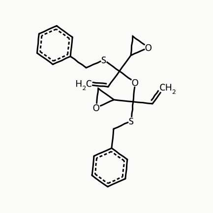 C=CC(OC(C=C)(SCc1ccccc1)C1CO1)(SCc1ccccc1)C1CO1